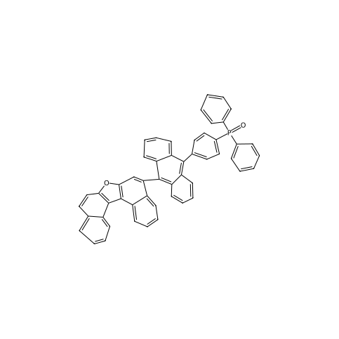 O=P(c1ccccc1)(c1ccccc1)c1ccc(-c2c3ccccc3c(-c3cc4oc5ccc6ccccc6c5c4c4ccccc34)c3ccccc23)cc1